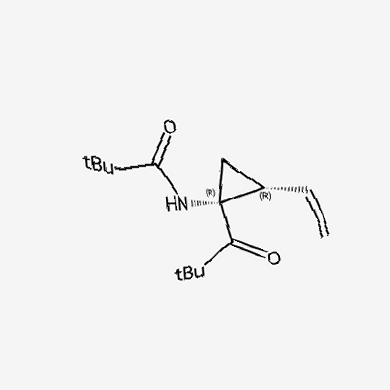 C=C[C@H]1C[C@]1(NC(=O)C(C)(C)C)C(=O)C(C)(C)C